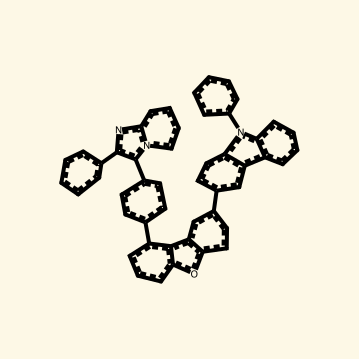 c1ccc(-c2nc3ccccn3c2-c2ccc(-c3cccc4oc5ccc(-c6ccc7c(c6)c6ccccc6n7-c6ccccc6)cc5c34)cc2)cc1